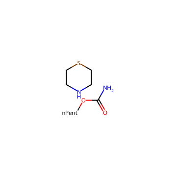 C1CSCCN1.CCCCCOC(N)=O